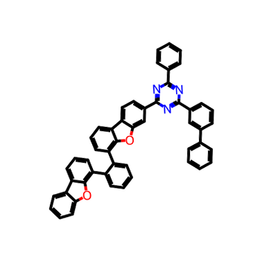 c1ccc(-c2cccc(-c3nc(-c4ccccc4)nc(-c4ccc5c(c4)oc4c(-c6ccccc6-c6cccc7c6oc6ccccc67)cccc45)n3)c2)cc1